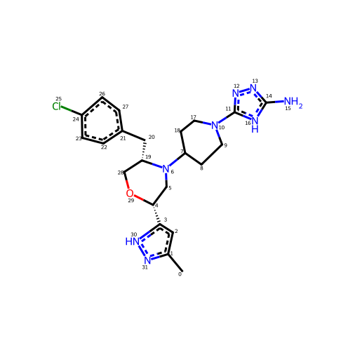 Cc1cc([C@H]2CN(C3CCN(c4nnc(N)[nH]4)CC3)[C@@H](Cc3ccc(Cl)cc3)CO2)[nH]n1